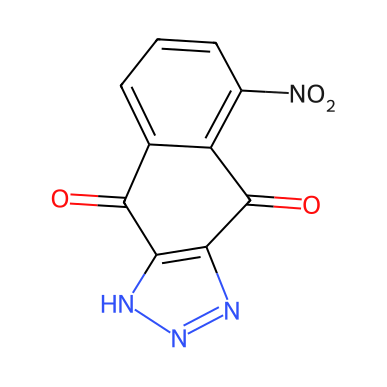 O=C1c2cccc([N+](=O)[O-])c2C(=O)c2nn[nH]c21